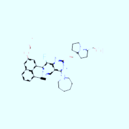 C#Cc1cccc2cc(OCOC)cc(-c3ncc4c(N5CCCCCC5)nc(OC[C@]56CCCN5[C@@H](CO)CC6)nc4c3F)c12